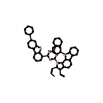 C=Cc1c(/C=C\C)n(-c2nc(-c3ccccc3)nc(-c3cccc4c3sc3cc(-c5ccccc5)ccc34)n2)c2c1ccc1c3ccccc3n(-c3ccccc3)c12